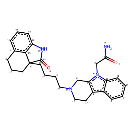 NC(=O)Cn1c2c(c3ccccc31)CCN(CCCCC13CCCc4cccc(c41)NC3=O)C2